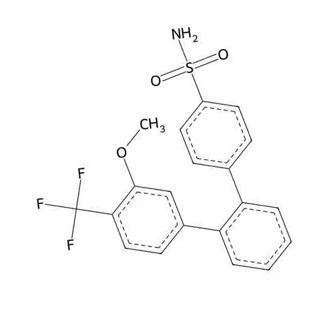 COc1cc(-c2ccccc2-c2ccc(S(N)(=O)=O)cc2)ccc1C(F)(F)F